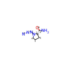 [N-]=[N+]=NN1CCC[C@H]1C(N)=O